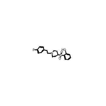 O=S(=O)(c1ccccc1O)C1CCN(CCc2ccc(F)cc2)CC1